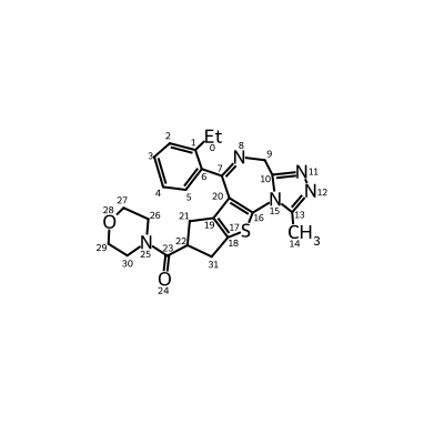 CCc1ccccc1C1=NCc2nnc(C)n2-c2sc3c(c21)CC(C(=O)N1CCOCC1)C3